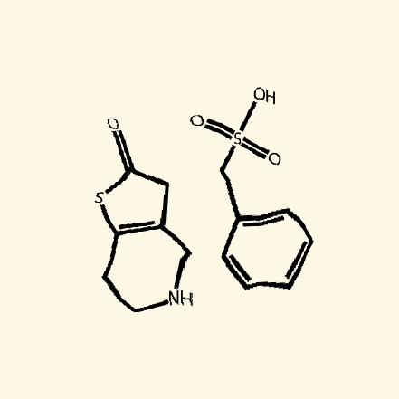 O=C1CC2=C(CCNC2)S1.O=S(=O)(O)Cc1ccccc1